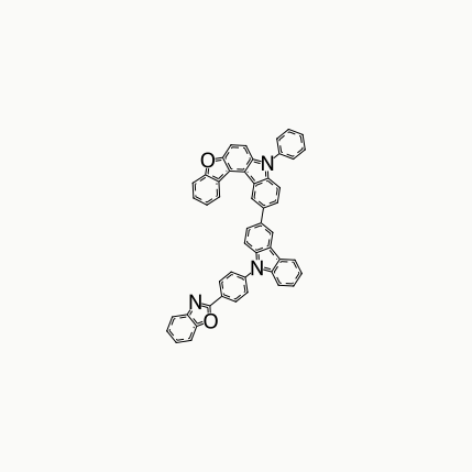 c1ccc(-n2c3ccc(-c4ccc5c(c4)c4ccccc4n5-c4ccc(-c5nc6ccccc6o5)cc4)cc3c3c4c(ccc32)oc2ccccc24)cc1